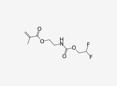 C=C(C)C(=O)OCCNC(=O)OCC(F)F